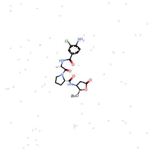 CC(C)CO[C@@H]1OC(=O)C[C@@H]1NC(=O)[C@@H]1CCCN1C(=O)[C@H](C)NC(=O)c1ccc(N)c(Cl)c1